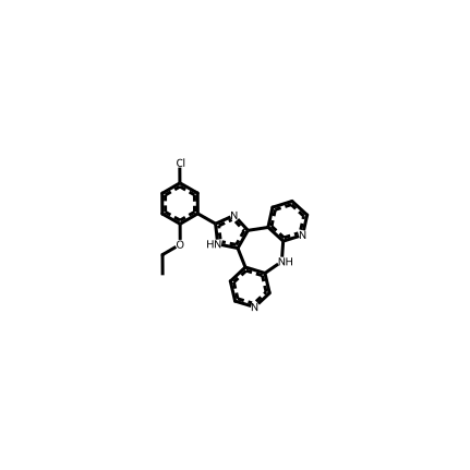 CCOc1ccc(Cl)cc1-c1nc2c([nH]1)-c1ccncc1Nc1ncccc1-2